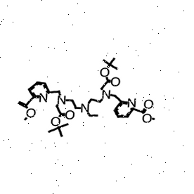 C=C(OC)c1cccc(CN(CCN(CC)CCN(CC(=O)OC(C)(C)C)Cc2cccc(C(=O)OC)n2)CC(=O)OC(C)(C)C)n1